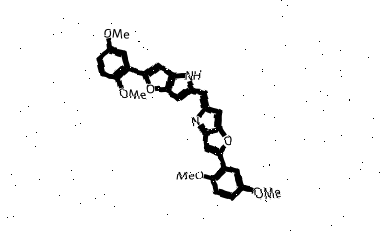 COc1ccc(OC)c(-c2cc3c(o2)=C/C(=C/c2cc4oc(-c5cc(OC)ccc5OC)cc4[nH]2)N=3)c1